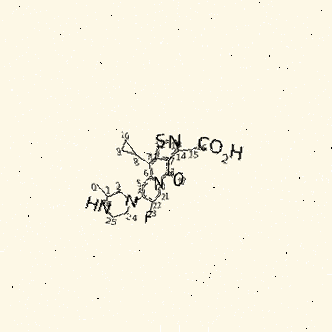 CC1CN(c2cc3c(C4CC4)c4snc(CC(=O)O)c4c(=O)n3cc2F)CCN1